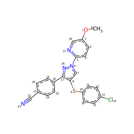 COc1ccc(-n2cc(Sc3ccc(Cl)cc3)c(-c3ccc(C#N)cc3)n2)nc1